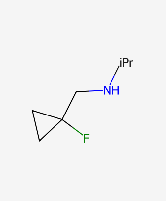 CC(C)NCC1(F)CC1